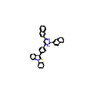 c1ccc2cc(-c3cc(-c4ccc(-c5c6ccccc6n6c5sc5ccccc56)cc4)nc(-c4ccc5ccccc5c4)n3)ccc2c1